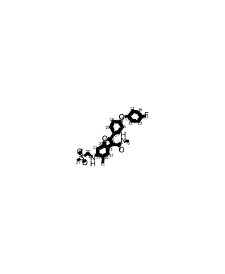 CNC(=O)c1c(-c2ccc(Oc3ccc(F)cc3)cc2)oc2cc(NCS(C)(=O)=O)c(C)cc12